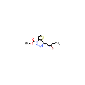 C=C/C(Br)=C\C=C(/N)c1sccc1NC(=O)OC(C)(C)C